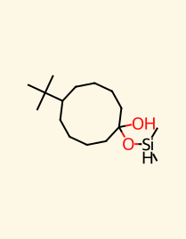 C[SiH](C)OC1(O)CCCCC(C(C)(C)C)CCCC1